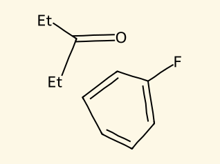 CCC(=O)CC.Fc1ccccc1